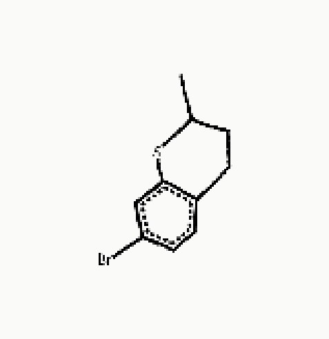 CC1CCc2ccc(Br)cc2S1